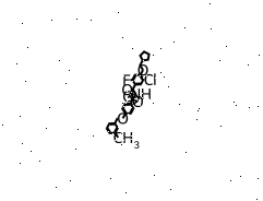 Cc1cccc(COc2ccc(S(=O)(=O)NC(=O)c3cc(Cl)c(OCC4CCCC4)cc3F)cc2)c1